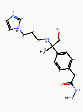 CCCCCCNC(=O)Cc1ccc(C(C)(CO)NCCCn2ccnc2)cc1